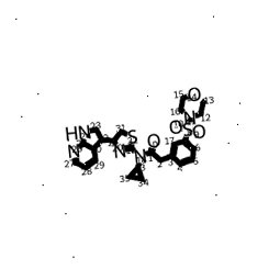 O=C(Cc1cccc(S(=O)(=O)N2CCOCC2)c1)N(C1=NC(C2CNC3N=CC=CC32)CS1)C1CC1